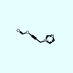 O=COC#CCn1ccnc1